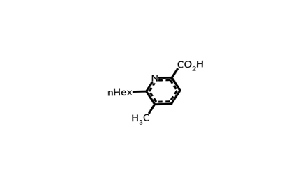 CCCCCCc1nc(C(=O)O)ccc1C